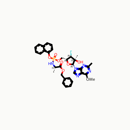 COc1nc(C)nc2c1ncn2[C@@H]1O[C@H](COP(=O)(N[C@@H](C)C(=O)OCc2ccccc2)Oc2cccc3ccccc23)[C@@H](F)[C@@]1(C)O